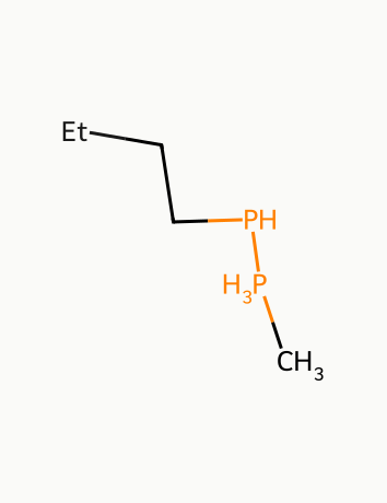 CCCCP[PH3]C